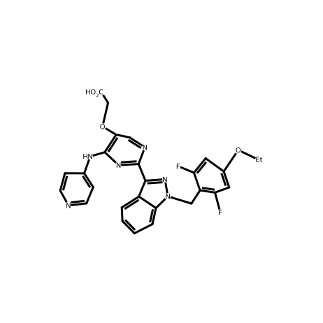 CCOc1cc(F)c(Cn2nc(-c3ncc(OCC(=O)O)c(Nc4ccncc4)n3)c3ccccc32)c(F)c1